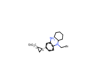 CCOC(=O)[C@H]1C[C@H]1c1ccc(N(CC(C)C)C2CCCCC2)c(N)c1